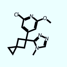 COc1cc(C2(c3nncn3C)CC3(CC3)C2)cc(Cl)n1